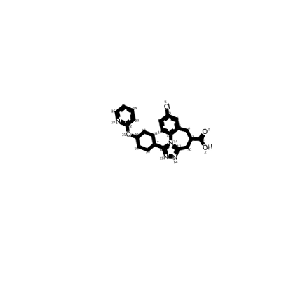 O=C(O)C1Cc2cc(Cl)ccc2-n2c(nnc2C2CCC(Oc3ccccn3)CC2)C1